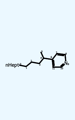 CCCCCCCCCCC(C)c1ccncc1